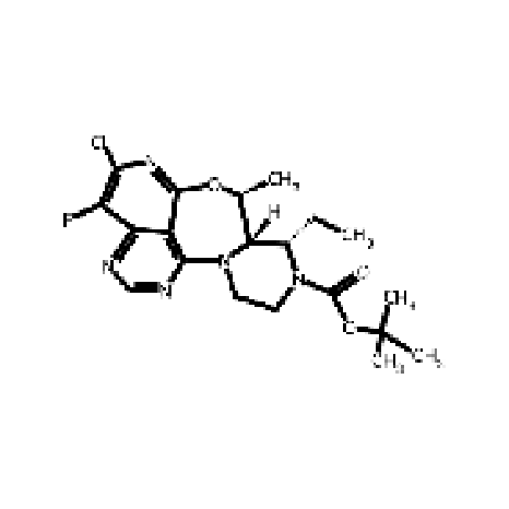 CC[C@H]1[C@H]2[C@H](C)Oc3nc(Cl)c(F)c4ncnc(c34)N2CCN1C(=O)OC(C)(C)C